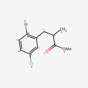 COC(=O)C(C)Cc1cc(Cl)ccc1Br